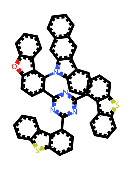 c1ccc2cc3c(cc2c1)c1ccccc1n3-c1c(-c2nc(-c3cccc4sc5ccccc5c34)nc(-c3cccc4sc5ccccc5c34)n2)ccc2oc3ccccc3c12